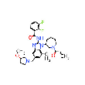 C=CC(=O)N1CCCCC(n2c(NC(=O)c3cccc(F)c3F)nc3cc(CN4CCC(OC)C4)cc(C)c32)C1